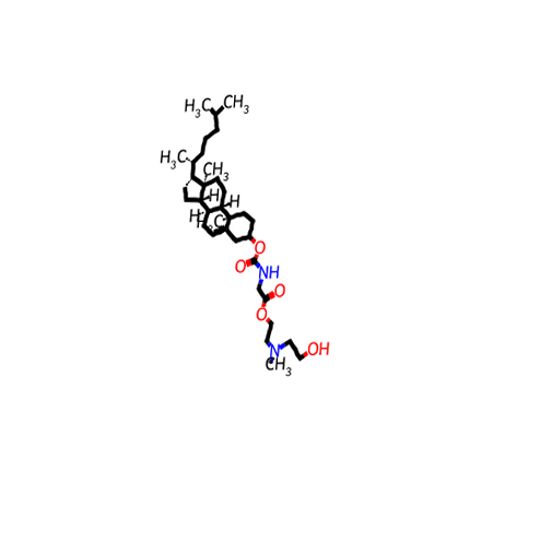 CC(C)CCC[C@@H](C)[C@H]1CC[C@H]2[C@@H]3CC=C4CC(OC(=O)NCC(=O)OCCN(C)CCO)CC[C@]4(C)[C@H]3CC[C@]12C